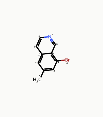 Cc1cc(Br)c2cnccc2c1